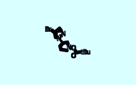 CC(C)(C)C(=O)ON1CCC[C@@H](n2cc(Br)cn2)C1